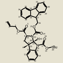 C=CCOC(=O)[C@@H]1C[C@@]2(C)c3ccccc3N(C(=O)OC(C)(C)C)[C@H]2N1C(=O)OCC1c2ccccc2-c2ccccc21